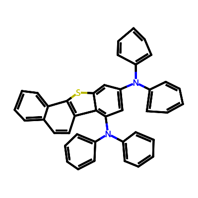 c1ccc(N(c2ccccc2)c2cc(N(c3ccccc3)c3ccccc3)c3c(c2)sc2c4ccccc4ccc23)cc1